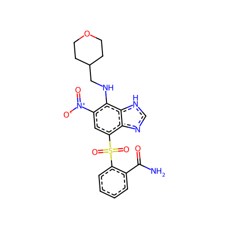 NC(=O)c1ccccc1S(=O)(=O)c1cc([N+](=O)[O-])c(NCC2CCOCC2)c2[nH]cnc12